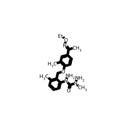 CCON=C(C)c1ccc(OCc2c(C)cccc2N(N)C(=O)N(C)N)c(C)c1